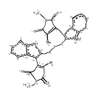 CN1C(=O)C(Br)=C(c2c(CCCc3[nH]c4ccccc4c3C3=C(Br)C(=O)N(C)C3=O)[nH]c3ccccc23)C1=O